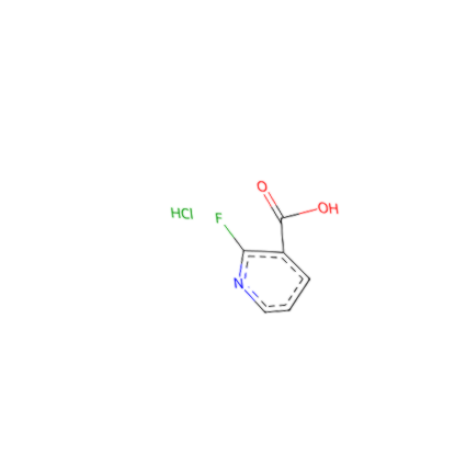 Cl.O=C(O)c1cccnc1F